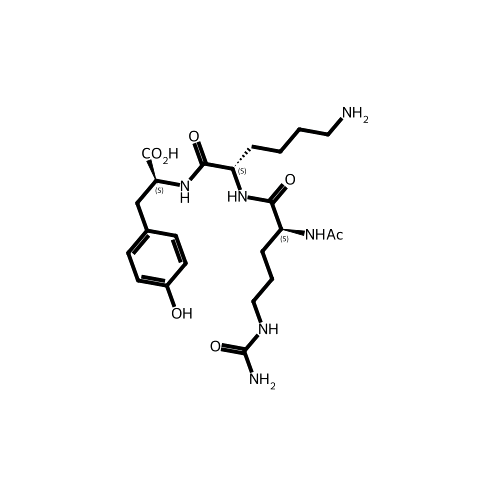 CC(=O)N[C@@H](CCCNC(N)=O)C(=O)N[C@@H](CCCCN)C(=O)N[C@@H](Cc1ccc(O)cc1)C(=O)O